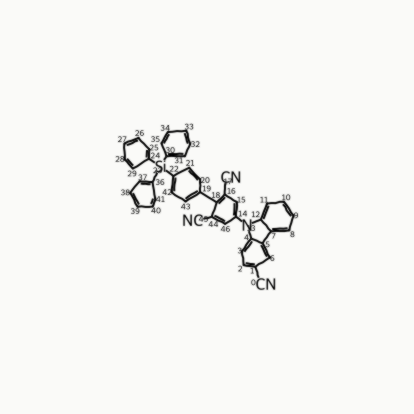 N#Cc1ccc2c(c1)c1ccccc1n2-c1cc(C#N)c(-c2ccc([Si](c3ccccc3)(c3ccccc3)c3ccccc3)cc2)c(C#N)c1